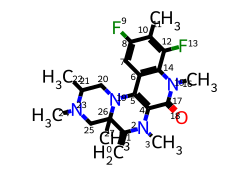 C=C1N(C)c2c(c3cc(F)c(C)c(F)c3n(C)c2=O)N2CC(C)N(C)CC12C